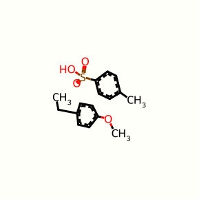 CCc1ccc(OC)cc1.Cc1ccc(S(=O)(=O)O)cc1